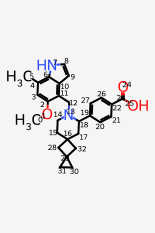 COc1cc(C)c2[nH]ccc2c1CN1CCC2(CC1c1ccc(C(=O)O)cc1)CC1(CC1)C2